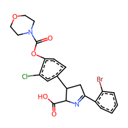 O=C(O)C1N=C(c2ccccc2Br)CC1c1ccc(OC(=O)N2CCOCC2)c(Cl)c1